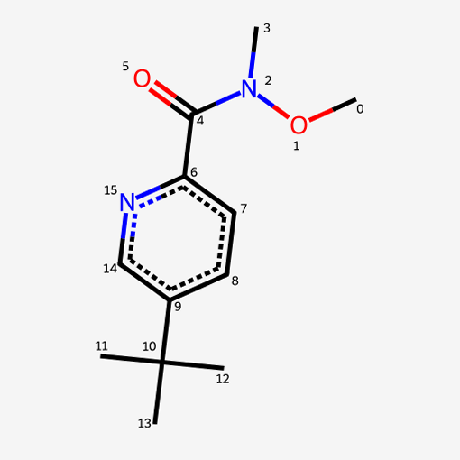 CON(C)C(=O)c1ccc(C(C)(C)C)cn1